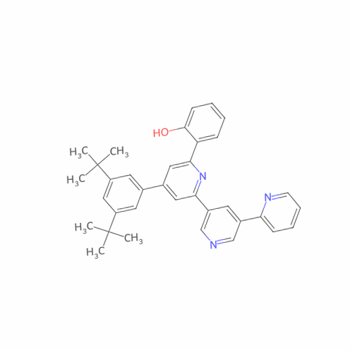 CC(C)(C)c1cc(-c2cc(-c3cncc(-c4ccccn4)c3)nc(-c3ccccc3O)c2)cc(C(C)(C)C)c1